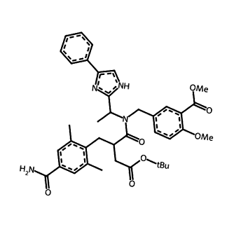 COC(=O)c1cc(CN(C(=O)C(CC(=O)OC(C)(C)C)Cc2c(C)cc(C(N)=O)cc2C)C(C)c2nc(-c3ccccc3)c[nH]2)ccc1OC